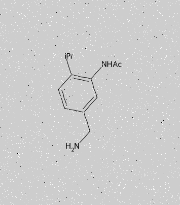 CC(=O)Nc1cc(CN)ccc1C(C)C